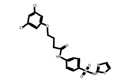 O=C(CCCOc1cc(Cl)cc(Cl)c1)Nc1ccc(S(=O)(=O)Nc2nccs2)cc1